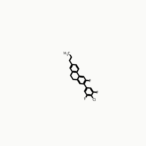 CCCc1ccc2c(c1)CCc1cc(-c3cc(F)c(Cl)c(F)c3)c(F)cc1-2